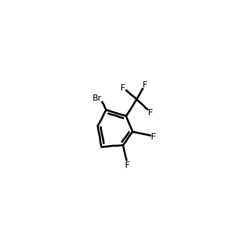 Fc1ccc(Br)c(C(F)(F)F)c1F